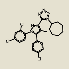 Cc1c(-c2nnnn2C2CCCCCC2)nn(-c2ccc(Cl)cc2Cl)c1-c1ccc(Cl)cc1